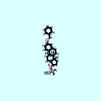 CC(C)(C)[Si](C)(C)O[C@@H]1CC[C@H]2[C@@H]3CCc4cc(OCc5ccccc5)ccc4[C@H]3CC[C@]12C